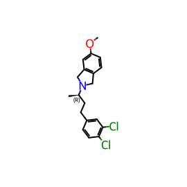 COc1ccc2c(c1)CN([C@H](C)CCc1ccc(Cl)c(Cl)c1)C2